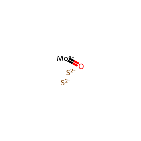 [O]=[Mo+4].[S-2].[S-2]